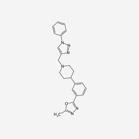 Cc1nnc(-c2cccc(C3CCN(Cc4cn(-c5ccccc5)nn4)CC3)c2)o1